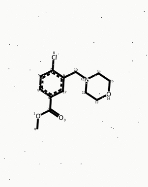 COC(=O)c1ccc(Cl)c(CN2CCOCC2)c1